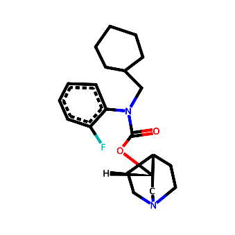 O=C(O[C@H]1CN2CCC1CC2)N(CC1CCCCC1)c1ccccc1F